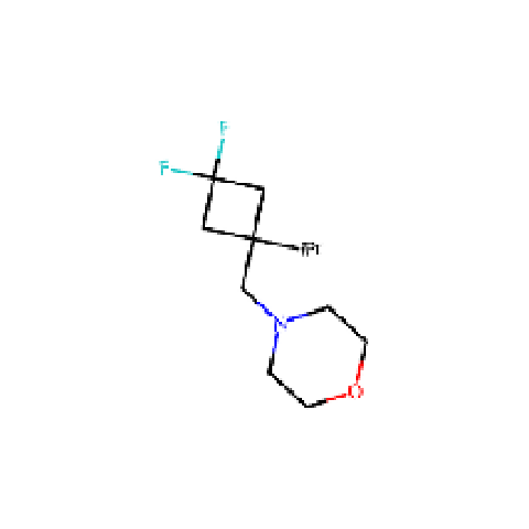 CC(C)C1(CN2CCOCC2)CC(F)(F)C1